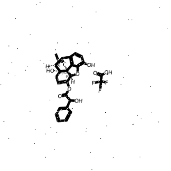 CN1CC[C@]23c4c5ccc(O)c4O[C@H]2C(OC(=O)C(O)c2ccccc2)=CC[C@@]3(O)[C@H]1C5.O=C(O)C(F)(F)F